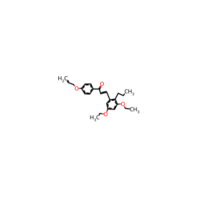 C=CCOc1ccc(C(=O)C=Cc2cc(OCC)cc(OCC)c2CCC)cc1